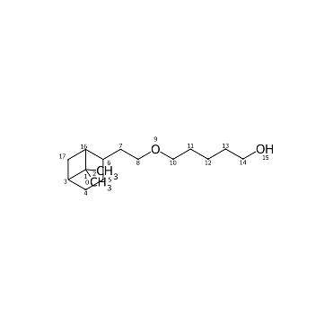 CC1(C)C2CCC(CCOCCCCCO)C1C2